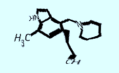 C#CCc1cc(C)c2[nH]ccc2c1CN1CCCCC1